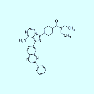 CCN(CC)C(=O)C1CCC(c2nc(-c3ccc4ncc(-c5ccccc5)nc4c3)c3c(N)nccn23)CC1